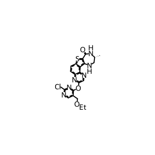 CCOCc1cnc(Cl)nc1Oc1cnc2c(ccc3sc4c(c32)NC[C@@H](C)NC4=O)n1